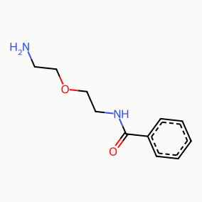 NCCOCCNC(=O)c1ccccc1